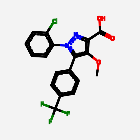 COc1c(C(=O)O)nn(-c2ccccc2Cl)c1-c1ccc(C(F)(F)F)cc1